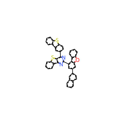 c1ccc2cc(-c3cc(-c4nc(-c5ccc6sc7ccccc7c6c5)c5sc6ccccc6c5n4)c4c(c3)oc3ccccc34)ccc2c1